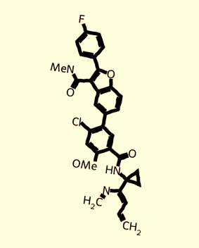 C=C/C=C(\N=C)C1(NC(=O)c2cc(-c3ccc4oc(-c5ccc(F)cc5)c(C(=O)NC)c4c3)c(Cl)cc2OC)CC1